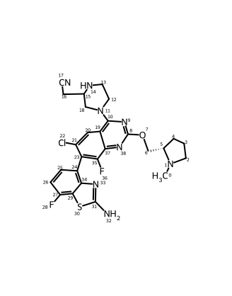 CN1CCC[C@H]1COc1nc(N2CCNC(CC#N)C2)c2cc(Cl)c(-c3ccc(F)c4sc(N)nc34)c(F)c2n1